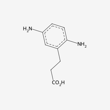 Nc1ccc(N)c(CCC(=O)O)c1